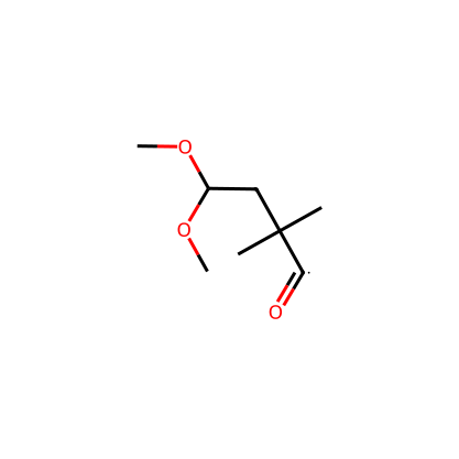 COC(CC(C)(C)[C]=O)OC